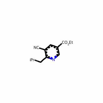 CCOC(=O)c1cnc(CC(C)C)c(C#N)c1